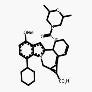 COc1ccc(C2CCCCC2)c2c1cc1n2CC2=C(C(=O)O)C2=C2C=CC[C@@H](C(=O)N3CC(C)OC(C)C3)C21